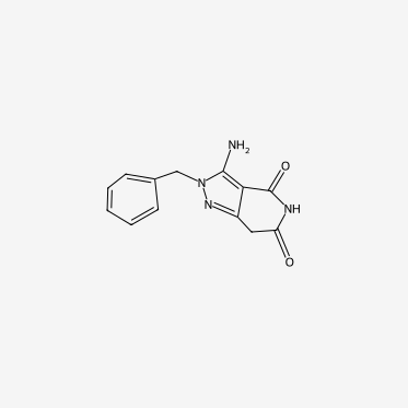 Nc1c2c(nn1Cc1ccccc1)CC(=O)NC2=O